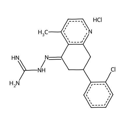 Cc1ccnc2c1C(=NNC(=N)N)CC(c1ccccc1Cl)C2.Cl